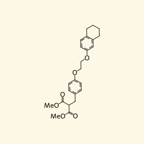 COC(=O)C(Cc1ccc(OCCOc2ccc3c(c2)CCCC3)cc1)C(=O)OC